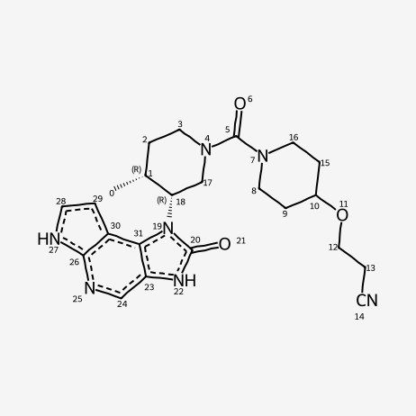 C[C@@H]1CCN(C(=O)N2CCC(OCCC#N)CC2)C[C@@H]1n1c(=O)[nH]c2cnc3[nH]ccc3c21